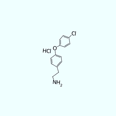 Cl.NCCc1ccc(Oc2ccc(Cl)cc2)cc1